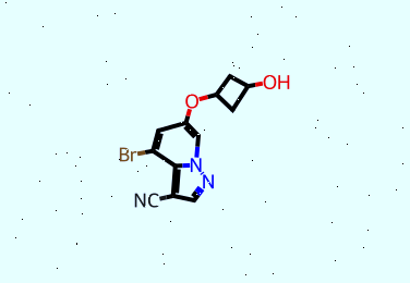 N#Cc1cnn2cc(OC3CC(O)C3)cc(Br)c12